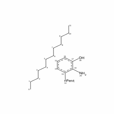 CCCCCCCCCCCC.CCCCCc1cccc(O)c1N